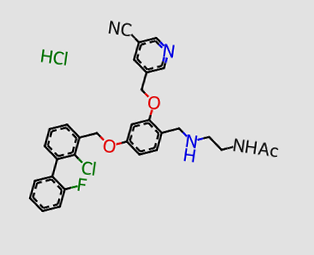 CC(=O)NCCNCc1ccc(OCc2cccc(-c3ccccc3F)c2Cl)cc1OCc1cncc(C#N)c1.Cl